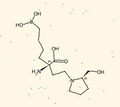 N[C@](CCCCB(O)O)(CCN1CCC[C@@H]1CO)C(=O)O